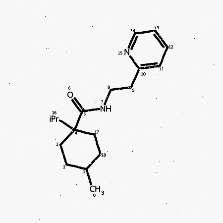 CC1CCC(C(=O)NCCc2ccccn2)(C(C)C)CC1